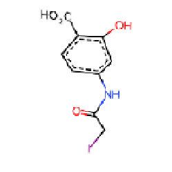 O=C(CI)Nc1ccc(C(=O)O)c(O)c1